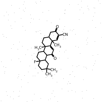 CC1(C)CCC2(F)CCC3C(C(=O)C=C4C5(C)C=C(C#N)C(=O)CC5CCC43C)C2C1